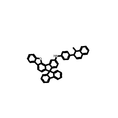 CC1c2ccccc2C=CC1c1ccc(Nc2ccc3c(c2)-c2c(ccc4c2oc2ccccc24)C32c3ccccc3-c3ccccc32)cc1